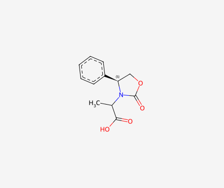 CC(C(=O)O)N1C(=O)OC[C@@H]1c1ccccc1